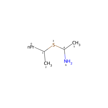 CCCC(C)SC(C)N